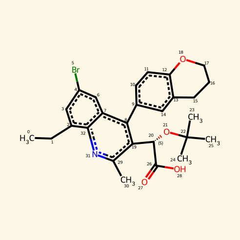 CCc1cc(Br)cc2c(-c3ccc4c(c3)CCCO4)c([C@H](OC(C)(C)C)C(=O)O)c(C)nc12